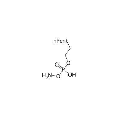 CCCCCCCOP(=O)(O)ON